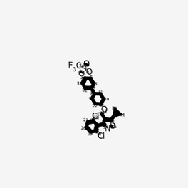 O=S(=O)(Oc1ccc(C2CCC(OCc3c(-c4c(Cl)cccc4Cl)noc3C3CC3)CC2)cc1)C(F)(F)F